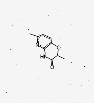 Cc1ccc2c(n1)NC(=O)C(C)O2